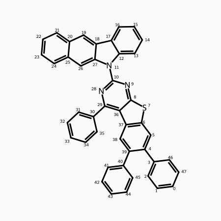 c1ccc(-c2cc3sc4nc(-n5c6ccccc6c6cc7ccccc7cc65)nc(-c5ccccc5)c4c3cc2-c2ccccc2)cc1